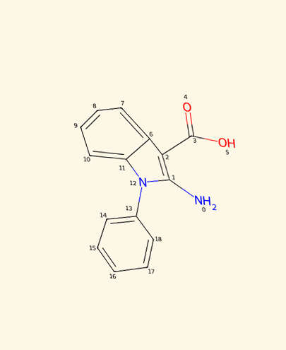 Nc1c(C(=O)O)c2ccccc2n1-c1ccccc1